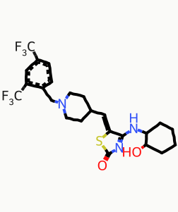 O=C1N=C(NC2CCCCC2O)C(=CC2CCN(Cc3ccc(C(F)(F)F)cc3C(F)(F)F)CC2)S1